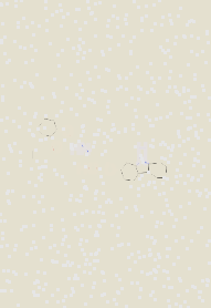 COc1ccccc1OCCNCC(O)COc1ccc2c(c1)[nH]c1c(F)cc(F)cc12